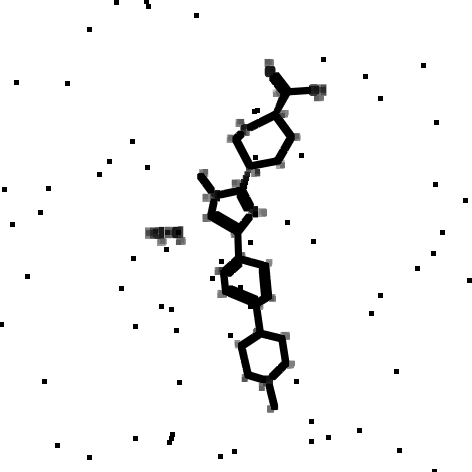 CN1CCC(c2ccc(-c3cn(C)c([C@H]4CC[C@H](C(=O)O)CC4)n3)cc2)CC1.Cl.Cl